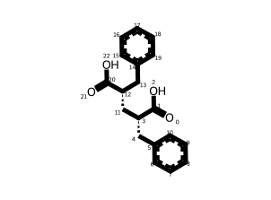 O=C(O)[C@H](Cc1ccccc1)C[C@@H](Cc1ccccc1)C(=O)O